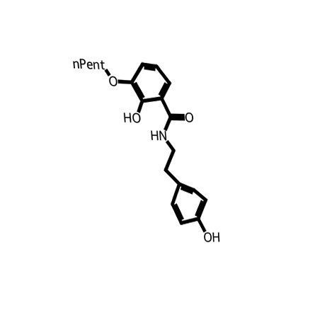 CCCCCOc1cccc(C(=O)NCCc2ccc(O)cc2)c1O